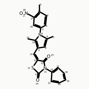 Cc1ccc(-n2c(C)cc(C=C3SC(=O)N(c4ccccc4)C3=O)c2C)cc1[N+](=O)[O-]